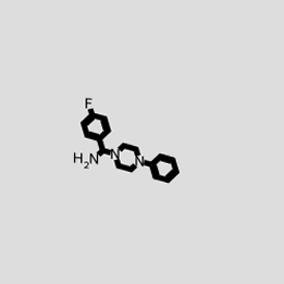 NC(c1ccc(F)cc1)N1CCN(c2ccccc2)CC1